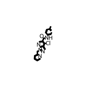 C=C(C)/C=C\C(=C/C)NC(=O)c1cnc2c(cnn2Cc2ccccn2)c1Cl